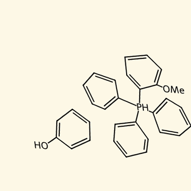 COc1ccccc1[PH](c1ccccc1)(c1ccccc1)c1ccccc1.Oc1ccccc1